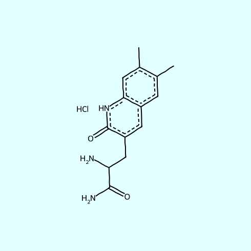 Cc1cc2cc(CC(N)C(N)=O)c(=O)[nH]c2cc1C.Cl